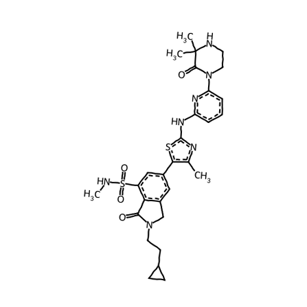 CNS(=O)(=O)c1cc(-c2sc(Nc3cccc(N4CCNC(C)(C)C4=O)n3)nc2C)cc2c1C(=O)N(CCC1CC1)C2